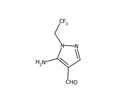 Nc1c(C=O)cnn1CC(F)(F)F